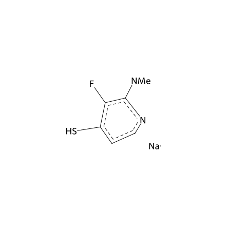 CNc1nccc(S)c1F.[Na]